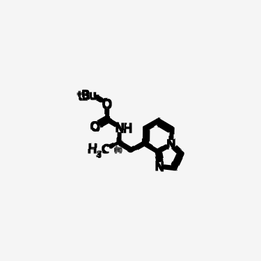 C[C@H](Cc1cccn2ccnc12)NC(=O)OC(C)(C)C